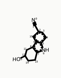 N#Cc1ccc2[nH]c3c(c2c1)CC(O)CC3